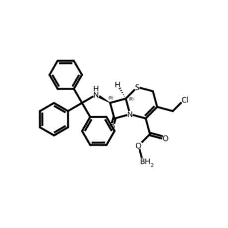 BOC(=O)C1=C(CCl)CS[C@@H]2[C@H](NC(c3ccccc3)(c3ccccc3)c3ccccc3)C(=O)N12